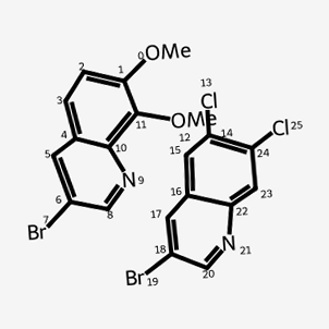 COc1ccc2cc(Br)cnc2c1OC.Clc1cc2cc(Br)cnc2cc1Cl